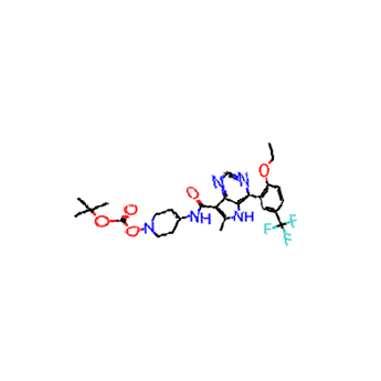 CCOc1ccc(C(F)(F)F)cc1-c1ncnc2c(C(=O)NC3CCN(OC(=O)OC(C)(C)C)CC3)c(C)[nH]c12